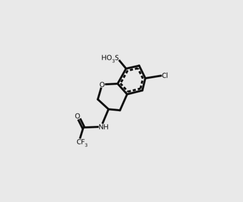 O=C(NC1COc2c(cc(Cl)cc2S(=O)(=O)O)C1)C(F)(F)F